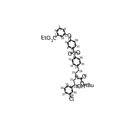 CCOC(=O)c1cccc(Oc2ccc(S(=O)(=O)c3ccc(CCN(C[C@@H](O)c4cccc(Cl)c4)C(=O)OC(C)(C)C)cc3)cc2)c1